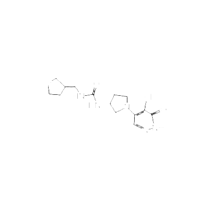 O=C(NCC1CCOC1)N[C@@H]1CCN(c2cn[nH]c(=O)c2Cl)C1